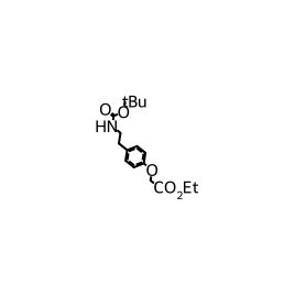 CCOC(=O)COc1ccc(CCNC(=O)OC(C)(C)C)cc1